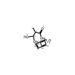 CC(C(=O)O)C(O)O.O.c1cc2ccc1-2